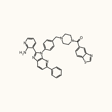 Nc1ncccc1-c1nc2ccc(-c3ccccc3)nc2n1-c1ccc(CN2CCN(C(=O)c3ccc4scnc4c3)CC2)cc1